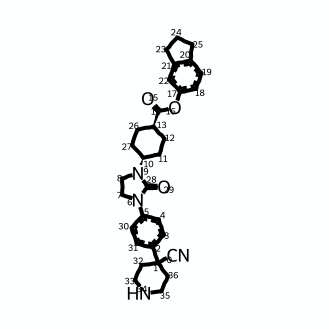 N#CC1(c2ccc(N3CCN([C@H]4CC[C@H](C(=O)Oc5ccc6c(c5)CCC6)CC4)C3=O)cc2)CCNCC1